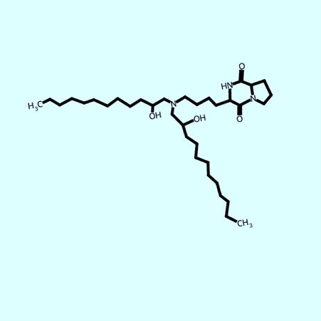 CCCCCCCCCCC(O)CN(CCCCC1NC(=O)C2CCCN2C1=O)CC(O)CCCCCCCCCC